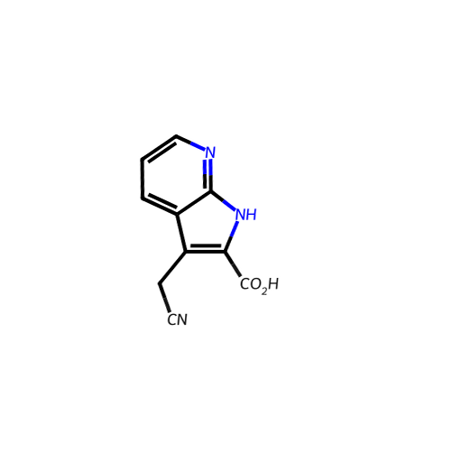 N#CCc1c(C(=O)O)[nH]c2ncccc12